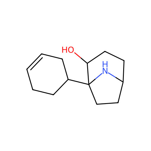 OC1CCC2CCC1(C1CC=CCC1)N2